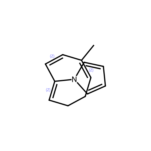 CC1=C/CC/C=C(n2cccc2)/C=C\1